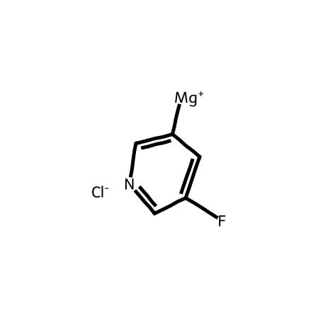 Fc1cnc[c]([Mg+])c1.[Cl-]